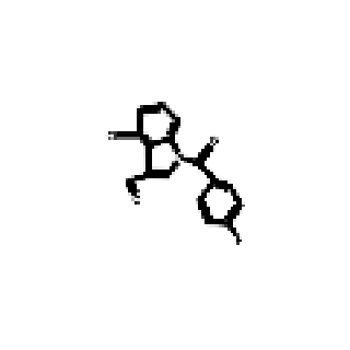 O=Cc1cn(C(=O)c2ccc(F)cc2)c2cccc(Cl)c12